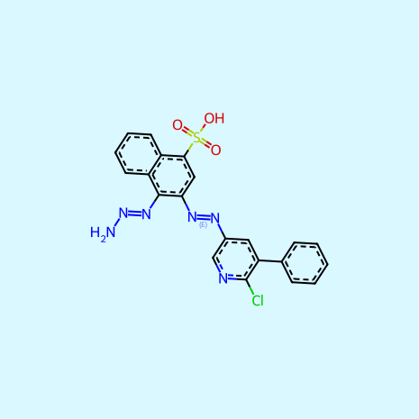 NN=Nc1c(/N=N/c2cnc(Cl)c(-c3ccccc3)c2)cc(S(=O)(=O)O)c2ccccc12